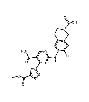 COC(=O)c1csc(-c2nc(Nc3cc4c(cc3Cl)CN(C(=O)O)CC4)ncc2C(N)=O)c1